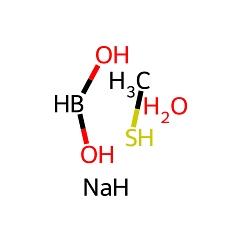 CS.O.OBO.[NaH]